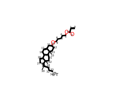 C=CC(=O)OCCCCCOC1CC[C@@]2(C)C(=CCC3C2CC[C@@]2(C)C3CC[C@@H]2[C@H](C)CCCC(C)C)C1